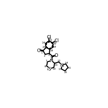 O=C1CC(C(=O)N2CCSCC2CN2CCCC2)c2cc(Cl)c(Cl)cc21